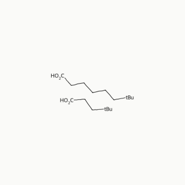 CC(C)(C)CCC(=O)O.CC(C)(C)CCCCCC(=O)O